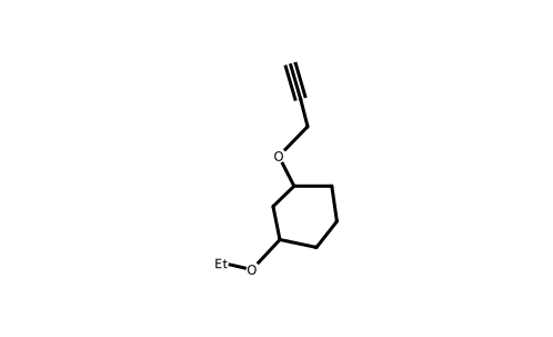 [C]#CCOC1CCCC(OCC)C1